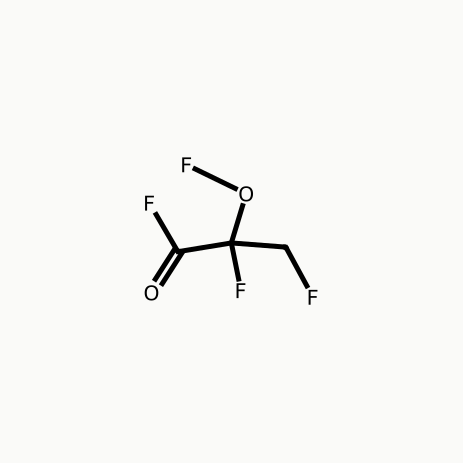 O=C(F)C(F)(CF)OF